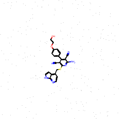 N#Cc1c(N)nc(SCc2ccnc3[nH]ccc23)c(C#N)c1-c1ccc(OCCO)cc1